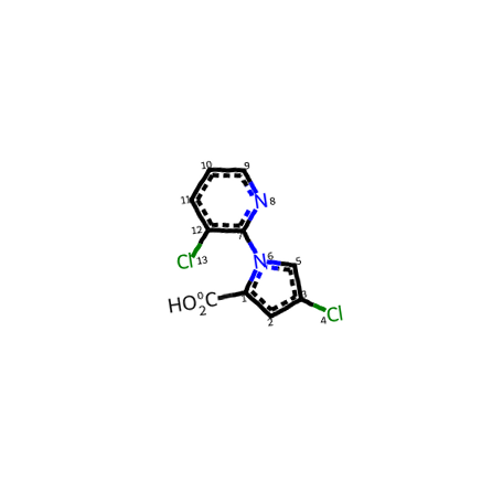 O=C(O)c1cc(Cl)cn1-c1ncccc1Cl